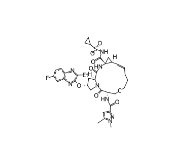 CCc1nc2ccc(F)cc2nc1O[C@@H]1C[C@H]2C(=O)N[C@]3(C(=O)NS(=O)(=O)C4CC4)C[C@H]3C=CCCCCC[C@H](NC(=O)c3cc(C)n(C)n3)C(=O)N2C1